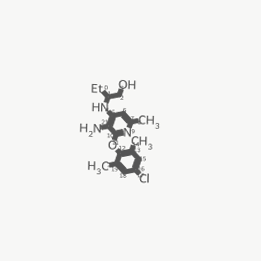 CCC(CO)Nc1cc(C)nc(Oc2c(C)cc(Cl)cc2C)c1N